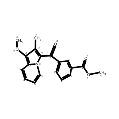 COC(=O)c1cccc(C(=O)c2c(C)c(OC)c3ccccn23)c1